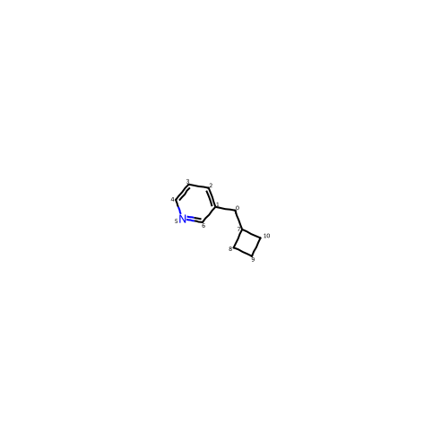 [CH](c1cccnc1)C1CCC1